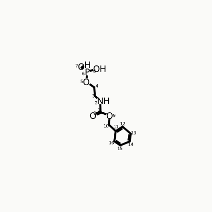 O=C(NCCO[PH](=O)O)OCc1ccccc1